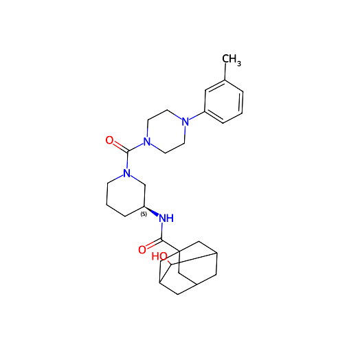 Cc1cccc(N2CCN(C(=O)N3CCC[C@H](NC(=O)C45CC6CC(C4)C(O)C(C6)C5)C3)CC2)c1